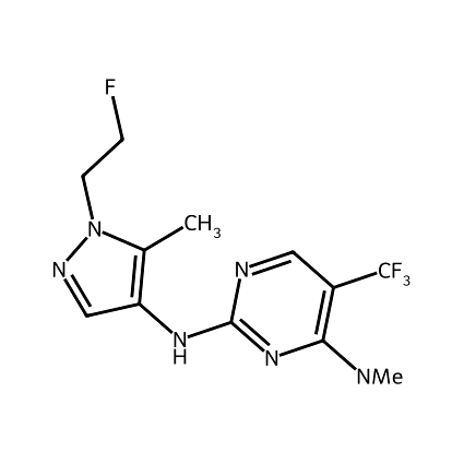 CNc1nc(Nc2cnn(CCF)c2C)ncc1C(F)(F)F